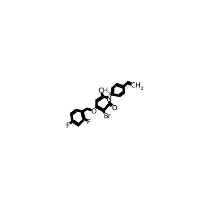 C=Cc1ccc(-n2c(C)cc(OCc3ccc(F)cc3F)c(Br)c2=O)cc1